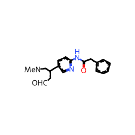 CNCC(CC=O)c1ccc(NC(=O)Cc2ccccc2)nc1